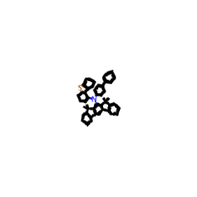 CC1(C)c2ccccc2-c2cc3c(c(N(c4ccc(-c5ccccc5)cc4)c4cccc5sc6ccccc6c45)c21)C(C)(C)c1ccccc1-3